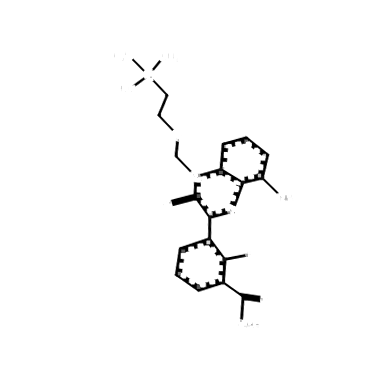 COC(=O)c1cccc(-c2nc3c(N)cccc3n(COCC[Si](C)(C)C)c2=O)c1F